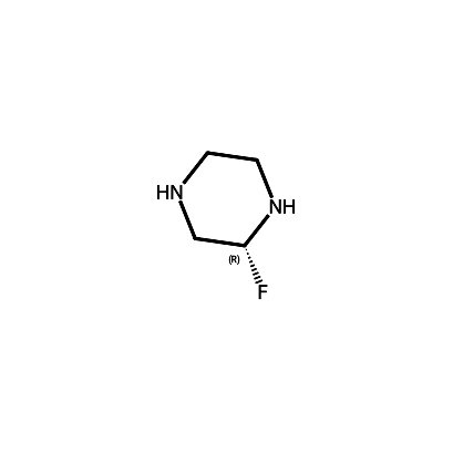 F[C@@H]1CNCCN1